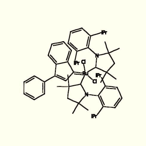 CC(C)c1cccc(C(C)C)c1N1[CH]([Ru]([Cl])([Cl])(=[C]2C=C(c3ccccc3)c3ccccc32)[CH]2N(c3c(C(C)C)cccc3C(C)C)C(C)(C)CC2(C)C)C(C)(C)CC1(C)C